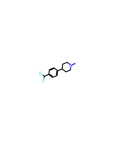 CN1CCC(c2ccc(C(F)F)cc2)CC1